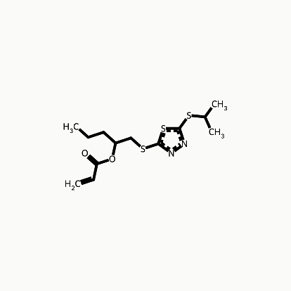 C=CC(=O)OC(CCC)CSc1nnc(SC(C)C)s1